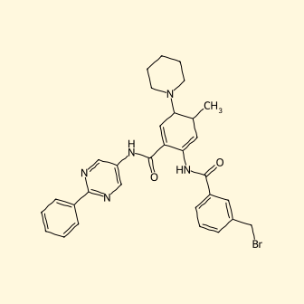 CC1C=C(NC(=O)c2cccc(CBr)c2)C(C(=O)Nc2cnc(-c3ccccc3)nc2)=CC1N1CCCCC1